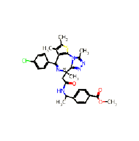 COC(=O)c1ccc(C(C)NC(=O)C[C@]2(C)N=C(c3ccc(Cl)cc3)c3c(sc(C)c3C)-n3c(C)nnc32)cc1